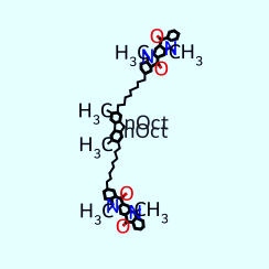 CCCCCCCCC1(CCCCCCCC)c2cc(CCCCCCCCc3ccc4c(c3)c(=O)c3cc5c(cc3n4C)c(=O)c3ccccc3n5C)c(C)cc2-c2cc(C)c(CCCCCCCCc3ccc4c(c3)c(=O)c3cc5c(cc3n4C)c(=O)c3ccccc3n5C)cc21